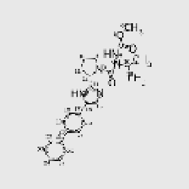 COC(=O)NN(C(=O)N1CCC[C@H]1c1ncc(-c2ccc(-c3ccccc3)cc2)[nH]1)C(C)C